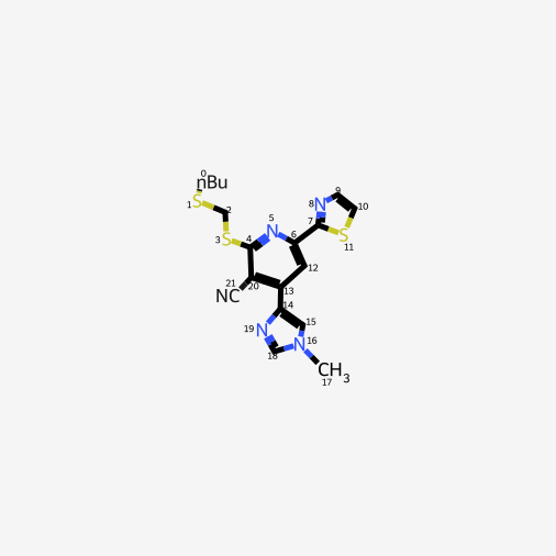 CCCCSCSc1nc(-c2nccs2)cc(-c2cn(C)cn2)c1C#N